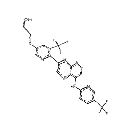 OCCOc1cc(C(F)(F)F)c(-c2cnc3c(Nc4ccc(C(F)(F)F)cn4)ccnc3n2)nn1